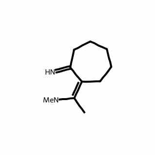 CN/C(C)=C1/CCCCCC1=N